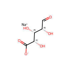 O=C[C@H](O)[C@@H](O)[C@H](O)C(=O)[O-].[Na+]